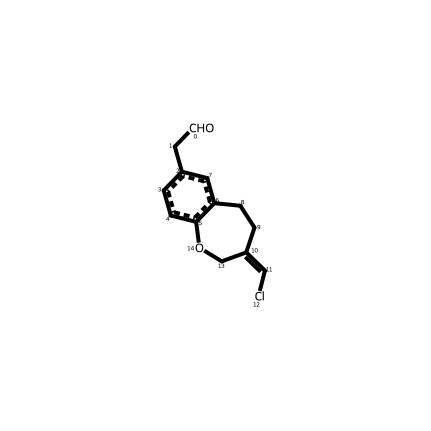 O=CCc1ccc2c(c1)CCC(=CCl)CO2